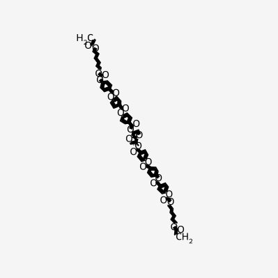 C=CC(=O)OCCCCCCOC(=O)Oc1ccc(C(=O)Oc2ccc(C(=O)Oc3ccc(C(=O)O[C@H]4COC5C4OC[C@@H]5OC(=O)c4ccc(OC(=O)c5ccc(OC(=O)c6ccc(OC(=O)OCCCCCCOC(=O)C=C)cc6)cc5)cc4)cc3)cc2)cc1